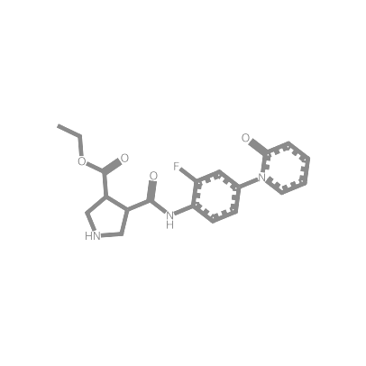 CCOC(=O)C1CNCC1C(=O)Nc1ccc(-n2ccccc2=O)cc1F